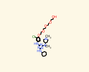 CN1CCC(N(C)c2nc(Nc3ccc(OCCOCCOCCOCCO)c(Cl)c3)nc(NC3CCCCCC3)n2)CC1